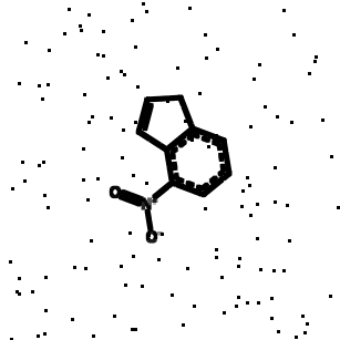 O=[N+]([O-])c1cccc2c1C=CC2